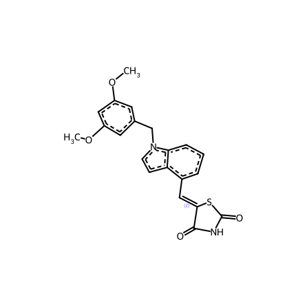 COc1cc(Cn2ccc3c(/C=C4\SC(=O)NC4=O)cccc32)cc(OC)c1